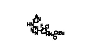 Cn1cc(Nc2ncnc(-c3ccc(CNC(=O)OC(C)(C)C)c(Cl)c3F)n2)cn1